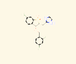 O=S1(=O)c2cc(Cl)ccc2[C@H](OCc2ccc(Cl)cc2Cl)[C@@H]1Cc1ncc[nH]1